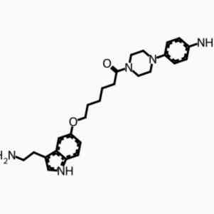 NCCc1c[nH]c2ccc(OCCCCCC(=O)N3CCN(c4ccc(N)cc4)CC3)cc12